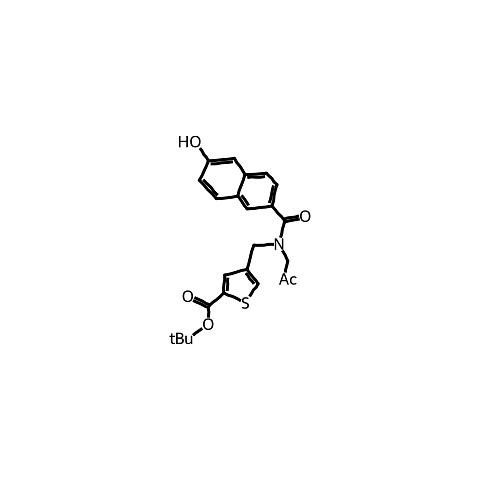 CC(=O)CN(Cc1csc(C(=O)OC(C)(C)C)c1)C(=O)c1ccc2cc(O)ccc2c1